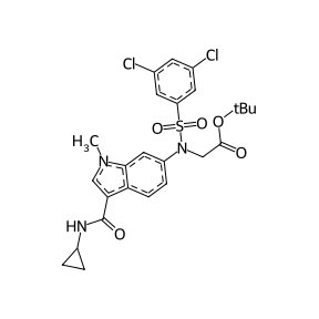 Cn1cc(C(=O)NC2CC2)c2ccc(N(CC(=O)OC(C)(C)C)S(=O)(=O)c3cc(Cl)cc(Cl)c3)cc21